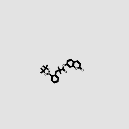 CC(C)(Cc1ccccc1B1OC(C)(C)C(C)(C)O1)C(=O)Oc1ccc2ccc(=O)oc2c1